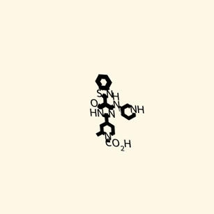 CC1CC(c2nc(N[C@@H]3CCCNC3)c(-c3nc4ccccc4s3)c(=O)[nH]2)CCN1C(=O)O